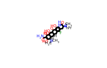 CCCN(C)C1Cc2c(F)c3c(c(O)c2NC1=O)C(=O)C1=C(O)[C@]2(O)C(=O)C(C(N)=O)=C(O)[C@H](N(C)C)[C@@H]2C[C@@H]1C3